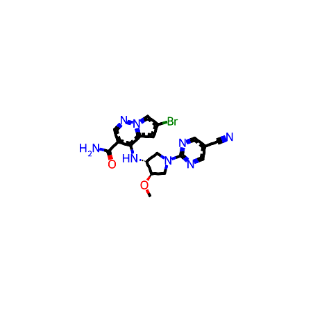 CO[C@@H]1CN(c2ncc(C#N)cn2)C[C@H]1Nc1c(C(N)=O)cnn2cc(Br)cc12